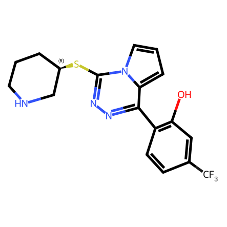 Oc1cc(C(F)(F)F)ccc1-c1nnc(S[C@@H]2CCCNC2)n2cccc12